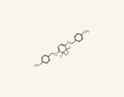 CCCc1ccc(COC2=CC=C(OCc3ccc(CCC)cc3)C(F)(F)C2(F)F)cc1